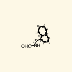 O=CNSc1cccc2ccccc12